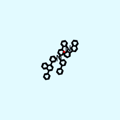 c1ccc(-c2cccc(N(c3ccc(-c4ccccc4-n4c5ccccc5c5ccc6ccccc6c54)cc3)c3cccc(-c4ccc(-c5ccccc5)c5ccccc45)c3)c2)cc1